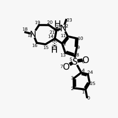 Cc1ccc(S(=O)(=O)c2ccc3c(c2)[C@H]2CCN(C)CC[C@H]2N3C)cc1